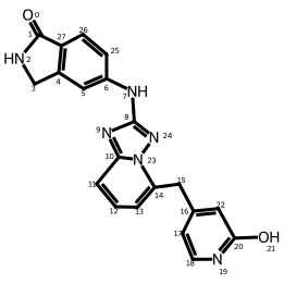 O=C1NCc2cc(Nc3nc4cccc(Cc5ccnc(O)c5)n4n3)ccc21